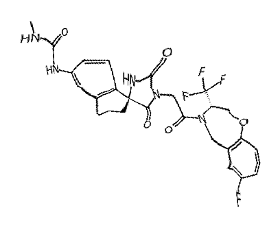 CNC(=O)Nc1ccc2c(c1)CC[C@]21NC(=O)N(CC(=O)N2Cc3cc(F)ccc3OC[C@H]2C(F)(F)F)C1=O